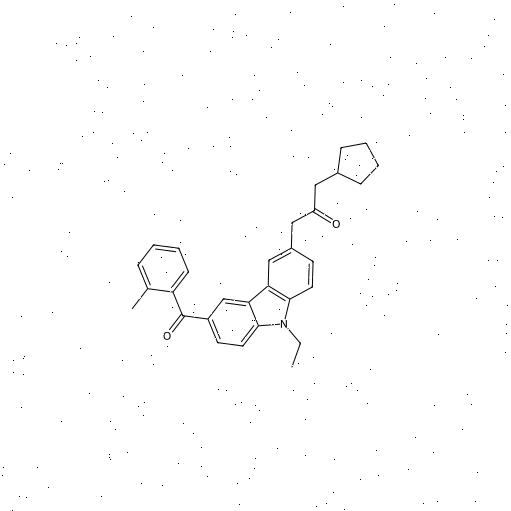 CCn1c2ccc(CC(=O)CC3CCCC3)cc2c2cc(C(=O)c3ccccc3C)ccc21